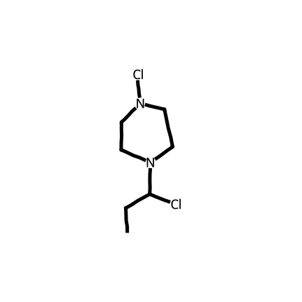 CCC(Cl)N1CCN(Cl)CC1